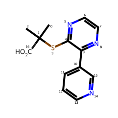 CC(C)(Sc1nccnc1-c1cccnc1)C(=O)O